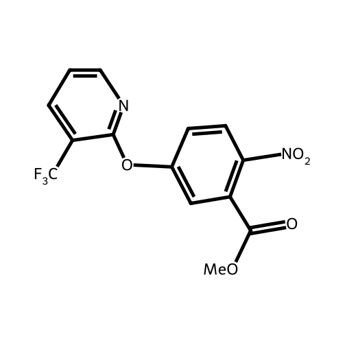 COC(=O)c1cc(Oc2ncccc2C(F)(F)F)ccc1[N+](=O)[O-]